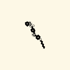 CCCCCCCOc1ccc(-c2nnc(-c3ccc(C(=O)On4nnc5ccccc54)cc3)s2)cc1